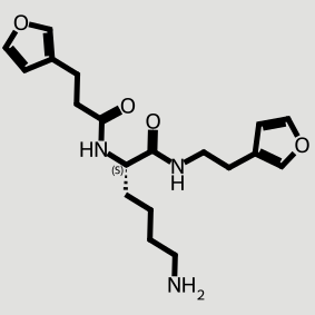 NCCCC[C@H](NC(=O)CCc1ccoc1)C(=O)NCCc1ccoc1